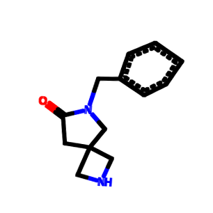 O=C1CC2(CNC2)CN1Cc1ccccc1